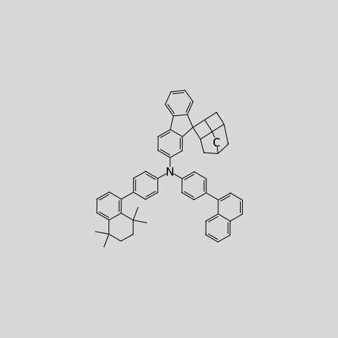 CC1(C)CCC(C)(C)c2c(-c3ccc(N(c4ccc(-c5cccc6ccccc56)cc4)c4ccc5c(c4)C4(c6ccccc6-5)C5CC6CC7CC4C75C6)cc3)cccc21